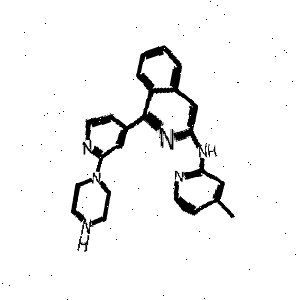 Cc1ccnc(Nc2cc3ccccc3c(-c3ccnc(N4CCNCC4)c3)n2)c1